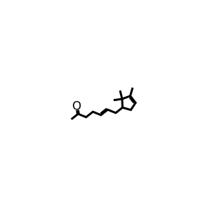 CC(=O)CC/C=C/CC1CC=C(C)C1(C)C